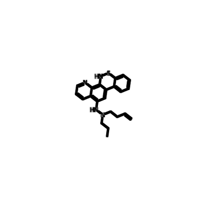 C=CCCN(CCC)Nc1cc2c(c3ncccc13)NSc1ccccc1-2